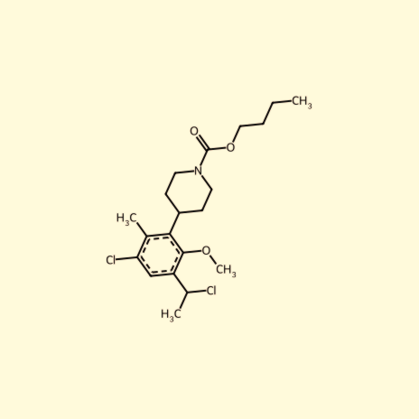 CCCCOC(=O)N1CCC(c2c(C)c(Cl)cc(C(C)Cl)c2OC)CC1